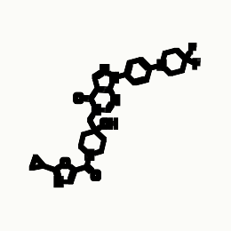 O=C(c1cnc(C2CC2)o1)N1CCC(O)(Cn2cnc3c(cnn3-c3ccc(N4CCC(F)(F)CC4)cc3)c2=O)CC1